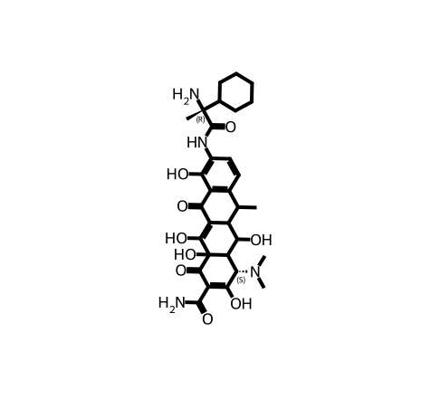 CC1c2ccc(NC(=O)[C@](C)(N)C3CCCCC3)c(O)c2C(=O)C2=C(O)C3(O)C(=O)C(C(N)=O)=C(O)[C@@H](N(C)C)C3C(O)C21